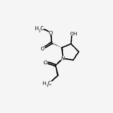 CCC(=O)N1CCC(O)[C@H]1C(=O)OC